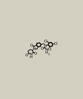 NC(=O)N(Cc1ccc2c(c1)CN(C1CCC(=O)NC1=O)C2=O)c1c(Cl)cc(Cl)cc1Cl